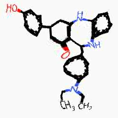 CCN(CC)c1ccc(C2Nc3ccccc3NC3=C2C(=O)CC(c2ccc(O)cc2)C3)cc1